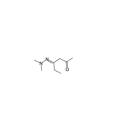 CC/C(CC(C)=O)=N\N(C)C